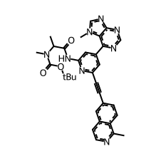 Cc1nccc2cc(C#Cc3cc(-c4ncnc5ncn(C)c45)cc(NC(=O)C(C)N(C)C(=O)OC(C)(C)C)n3)ccc12